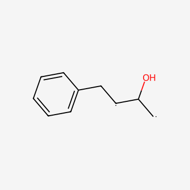 [CH2]C(O)[CH]Cc1ccccc1